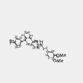 COc1ccc(CCNc2ncc3c(n2)-c2ccccc2C(c2ccc(F)cc2)C3)cc1OC